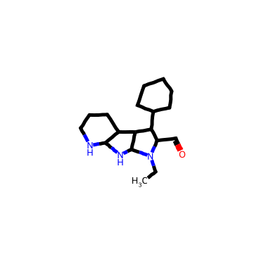 CCN1C(C=O)C(C2CCCCC2)C2C3CCCNC3NC21